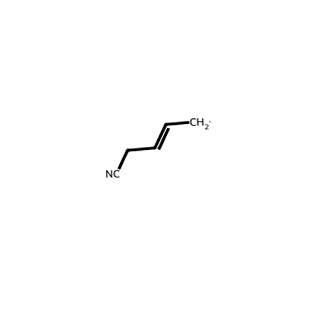 [CH2]C=CCC#N